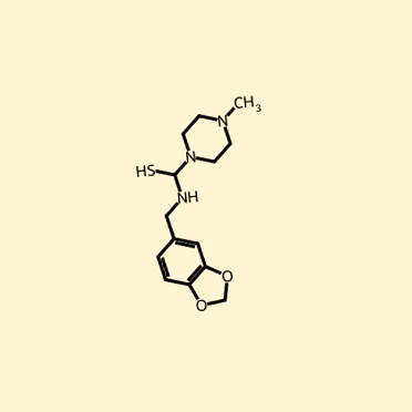 CN1CCN(C(S)NCc2ccc3c(c2)OCO3)CC1